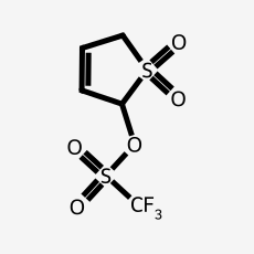 O=S1(=O)CC=CC1OS(=O)(=O)C(F)(F)F